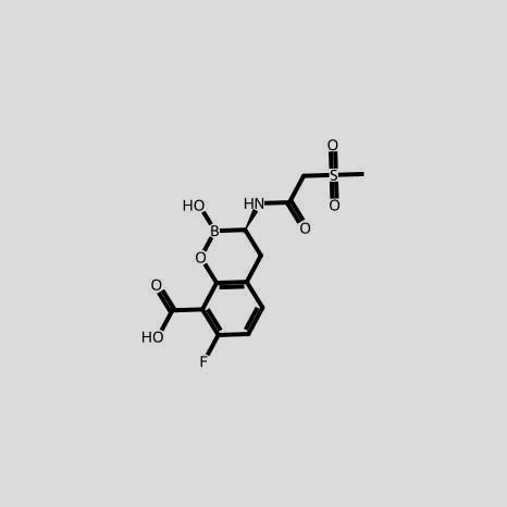 CS(=O)(=O)CC(=O)N[C@H]1Cc2ccc(F)c(C(=O)O)c2OB1O